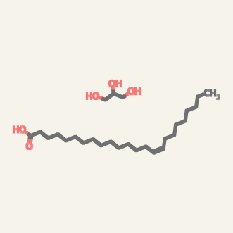 CCCCCCCC/C=C\CCCCCCCCCCCCCC(=O)O.OCC(O)CO